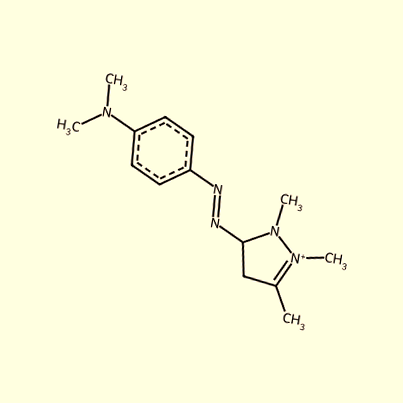 CC1=[N+](C)N(C)C(N=Nc2ccc(N(C)C)cc2)C1